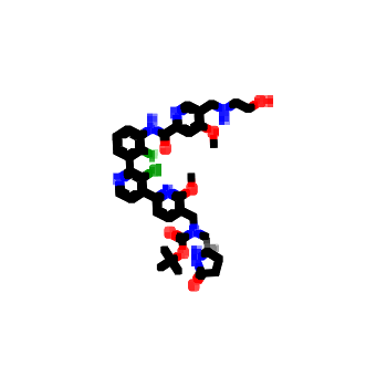 COc1cc(C(=O)Nc2cccc(-c3nccc(-c4ccc(CN(C[C@@H]5CCC(=O)N5)C(=O)OC(C)(C)C)c(OC)n4)c3Cl)c2F)ncc1CNCCO